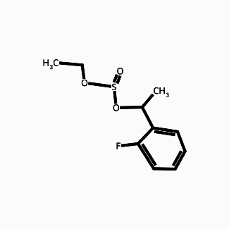 CCOS(=O)OC(C)c1ccccc1F